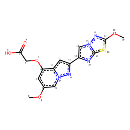 COc1cc(OCC(=O)O)c2cc(-c3cn4nc(OC)sc4n3)nn2c1